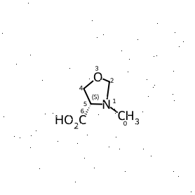 CN1COC[C@H]1C(=O)O